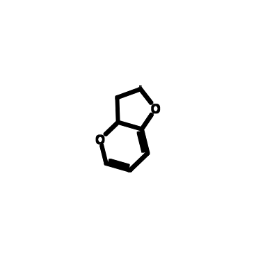 [CH]1CC2OC=CC=C2O1